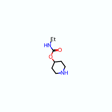 CCNC(=O)OC1CCNCC1